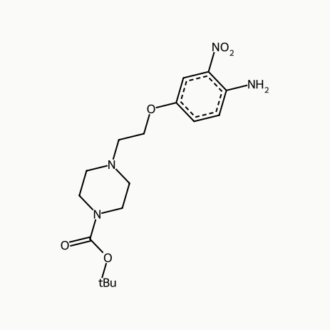 CC(C)(C)OC(=O)N1CCN(CCOc2ccc(N)c([N+](=O)[O-])c2)CC1